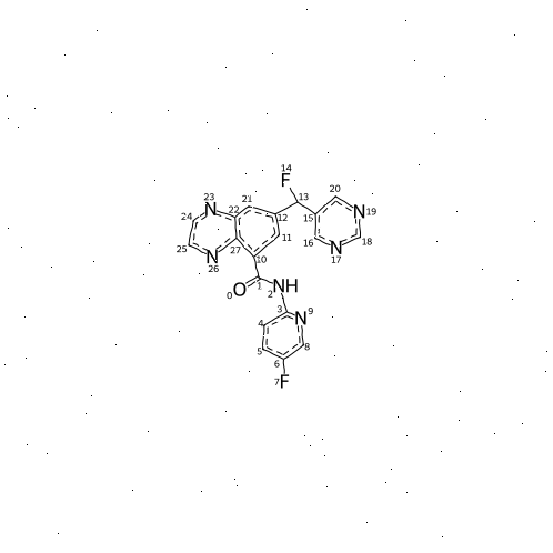 O=C(Nc1ccc(F)cn1)c1cc(C(F)c2cncnc2)cc2nccnc12